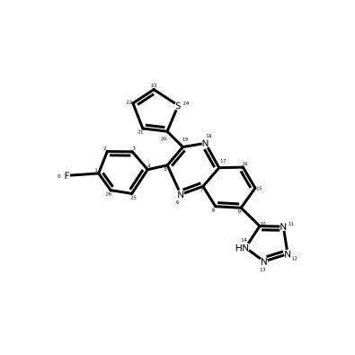 Fc1ccc(-c2nc3cc(-c4nnn[nH]4)ccc3nc2-c2cccs2)cc1